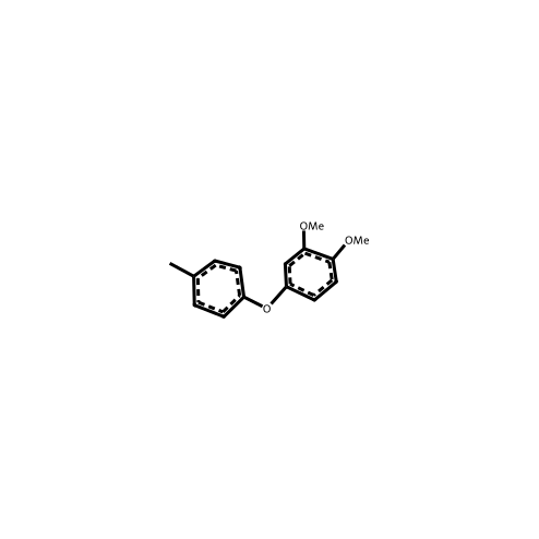 COc1ccc(Oc2ccc(C)cc2)cc1OC